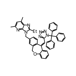 CCc1nc2c(C)cc(C)nc2n1Cc1ccc2c(c1)COc1ccccc1/C2=C/c1nnnn1C(c1ccccc1)(c1ccccc1)c1ccccc1